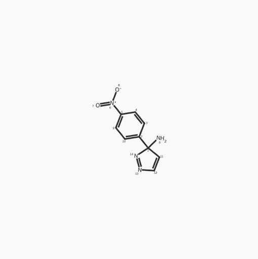 NC1(c2ccc([N+](=O)[O-])cc2)C=CN=N1